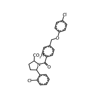 O=C(O)C1CCC(c2ccccc2Cl)N1C(=O)c1ccc(COc2ccc(Cl)cc2)cc1